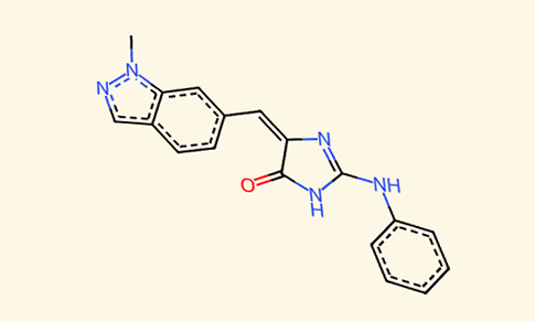 Cn1ncc2ccc(C=C3N=C(Nc4ccccc4)NC3=O)cc21